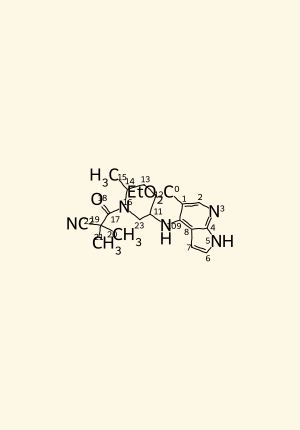 CCOC(=O)c1cnc2[nH]ccc2c1NC1CCC(C)N(C(=O)C(C)(C)C#N)C1